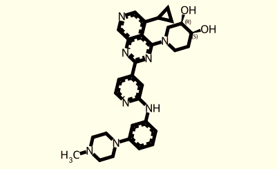 CN1CCN(c2cccc(Nc3cc(-c4nc(N5CC[C@H](O)[C@H](O)C5)c5c(C6CC6)cncc5n4)ccn3)c2)CC1